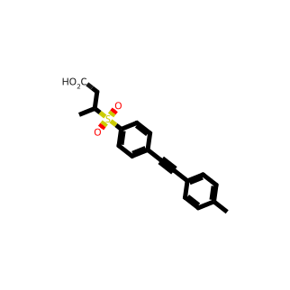 Cc1ccc(C#Cc2ccc(S(=O)(=O)C(C)CC(=O)O)cc2)cc1